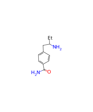 CCC(N)Cc1ccc(C(N)=O)cc1